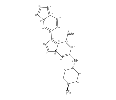 COc1nc(N[C@H]2CC[C@H](C(F)(F)F)CC2)nn2ccc(-c3cnc4nccn4c3)c12